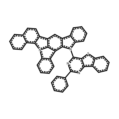 c1ccc(-c2nc(-n3c4ccccc4c4cc5c6ccc7ccccc7c6n6c7ccccc7c(c43)c56)c3sc4ccccc4c3n2)cc1